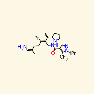 C=C(C(CNC(=O)c1cnn(C(C)C)c1C(F)(F)F)=C(CC/C(C)=C\N)C(C)C)[C@@H]1CCCN1